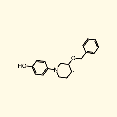 Oc1ccc(N2CC[CH]C(OCc3ccccc3)C2)cc1